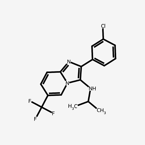 CC(C)Nc1c(-c2cccc(Cl)c2)nc2ccc(C(F)(F)F)cn12